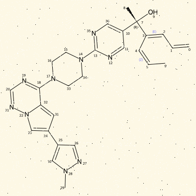 C=C/C=C(\C=C/C)[C@@](C)(O)c1cnc(N2CCN(c3ncnn4cc(-c5cnn(C)c5)cc34)CC2)nc1